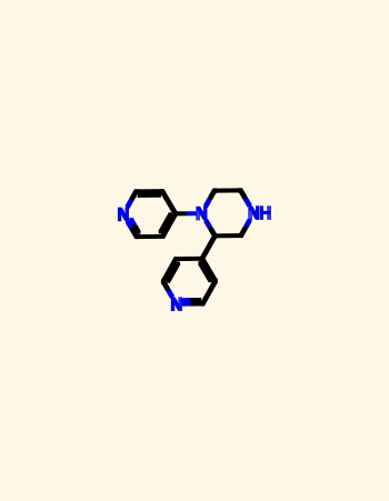 c1cc(C2CNCCN2c2ccncc2)ccn1